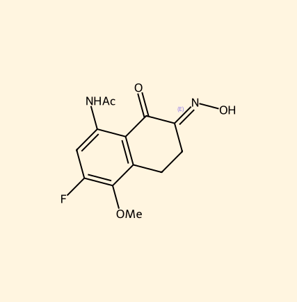 COc1c(F)cc(NC(C)=O)c2c1CC/C(=N\O)C2=O